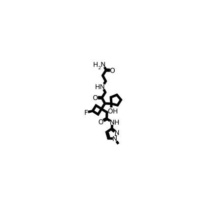 Cn1ccc(NC(=O)C(O)C2(C(C(=O)CNCCC(N)=O)C3(C)CCCC3)CC(F)C2)n1